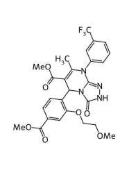 COCCOc1cc(C(=O)OC)ccc1C1C(C(=O)OC)=C(C)N(c2cccc(C(F)(F)F)c2)c2n[nH]c(=O)n21